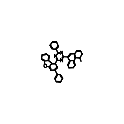 CC1CC=Cc2cc(-c3nc(-c4ccccc4)nc(-c4cc(-c5ccccc5)cc5oc6ccccc6c45)n3)c3ccccc3c21